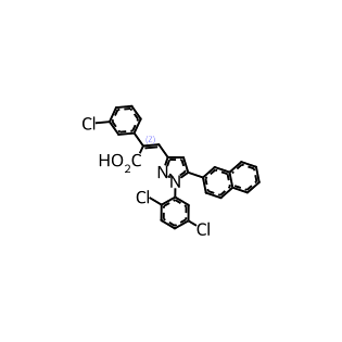 O=C(O)/C(=C\c1cc(-c2ccc3ccccc3c2)n(-c2cc(Cl)ccc2Cl)n1)c1cccc(Cl)c1